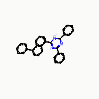 c1ccc(C2=NC(c3ccccc3)NC(c3cccc4c(-c5ccccc5)cccc34)=N2)cc1